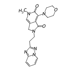 Cn1cc2c(c(N3CCOCC3)c1=O)C(=O)N(CCc1nc3ccccn3n1)C2